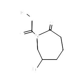 CCCC1CCCC(=O)N(C(=O)OC(C)(C)C)C1